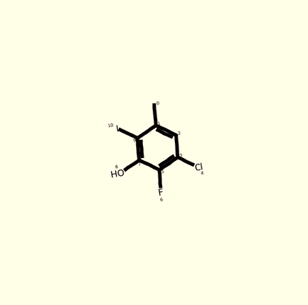 Cc1cc(Cl)c(F)c(O)c1I